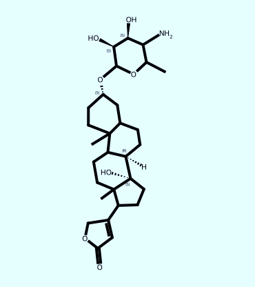 CC1OC(O[C@H]2CCC3(C)C(CC[C@@H]4C3CCC3(C)C(C5=CC(=O)OC5)CC[C@]43O)C2)[C@@H](O)[C@@H](O)C1N